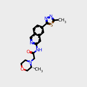 Cc1nnc(-c2ccc3cnc(NC(=O)CN4CCOC[C@H]4C)cc3c2)s1